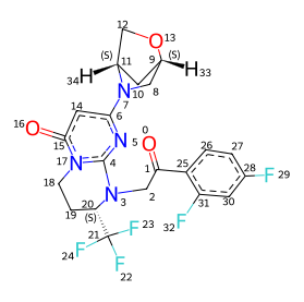 O=C(CN1c2nc(N3C[C@@H]4C[C@H]3CO4)cc(=O)n2CC[C@H]1C(F)(F)F)c1ccc(F)cc1F